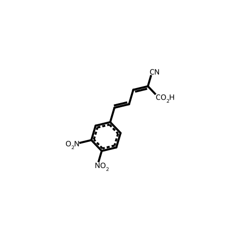 N#CC(=CC=Cc1ccc([N+](=O)[O-])c([N+](=O)[O-])c1)C(=O)O